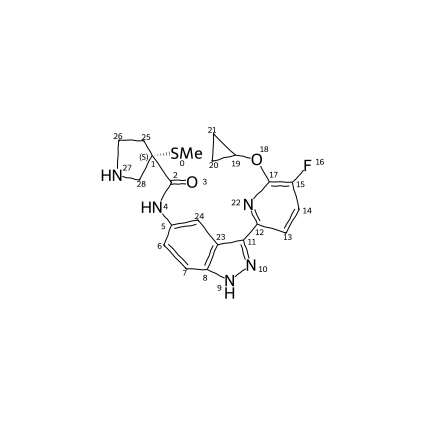 CS[C@@]1(C(=O)Nc2ccc3[nH]nc(-c4ccc(F)c(OC5CC5)n4)c3c2)CCNC1